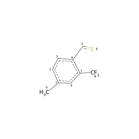 Cc1ccc(C=S)c(C(F)(F)F)c1